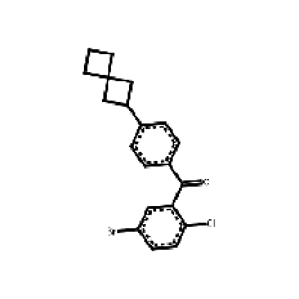 O=C(c1ccc(C2CC3(CCC3)C2)cc1)c1cc(Br)ccc1Cl